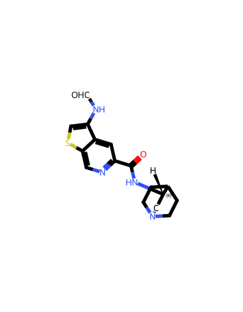 O=CNc1csc2cnc(C(=O)N[C@H]3CN4CCC3CC4)cc12